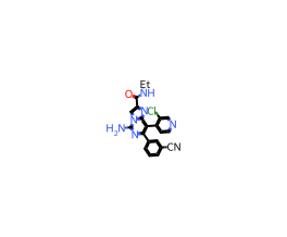 CCNC(=O)c1cn2c(N)nc(-c3cccc(C#N)c3)c(-c3ccncc3Cl)c2n1